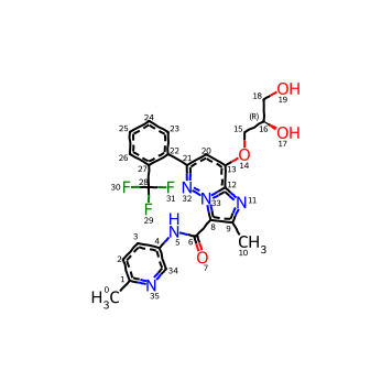 Cc1ccc(NC(=O)c2c(C)nc3c(OC[C@H](O)CO)cc(-c4ccccc4C(F)(F)F)nn23)cn1